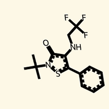 CC(C)(C)n1sc(-c2ccccc2)c(NCC(F)(F)F)c1=O